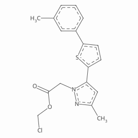 Cc1cccc(-c2ccc(-c3cc(C)nn3CC(=O)OCCl)s2)c1